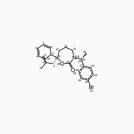 C=C(C)C[C@]1(C2C=CC=CC2)CCCN([C@@H](C)c2ccc(Br)cc2)C(=O)O1